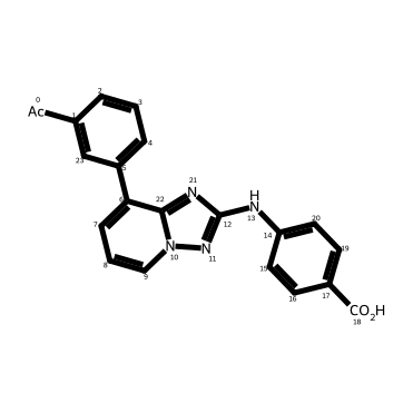 CC(=O)c1cccc(-c2cccn3nc(Nc4ccc(C(=O)O)cc4)nc23)c1